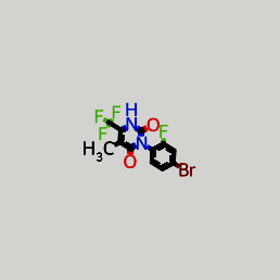 Cc1c(C(F)(F)F)[nH]c(=O)n(-c2ccc(Br)cc2F)c1=O